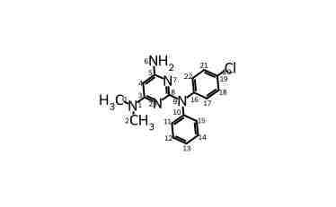 CN(C)c1cc(N)nc(N(c2ccccc2)c2ccc(Cl)cc2)n1